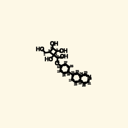 OCC1C(O)C(O)C1(O)C(O)Oc1ccc(-c2ccc3ccncc3c2)cc1